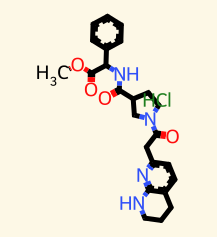 COC(=O)C(NC(=O)C1CCN(C(=O)Cc2ccc3c(n2)NCCC3)C1)c1ccccc1.Cl